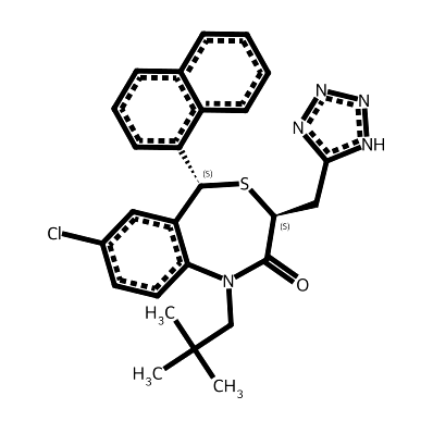 CC(C)(C)CN1C(=O)[C@H](Cc2nnn[nH]2)S[C@@H](c2cccc3ccccc23)c2cc(Cl)ccc21